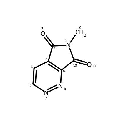 CN1C(=O)c2ccnnc2C1=O